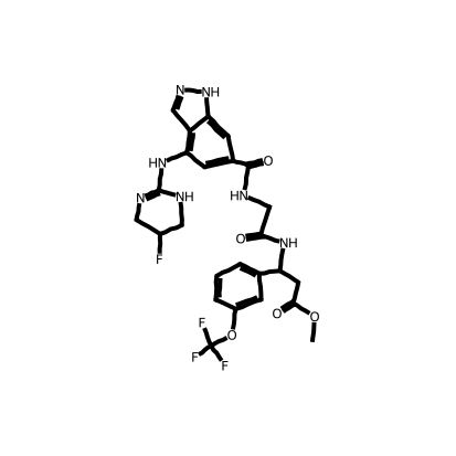 COC(=O)CC(NC(=O)CNC(=O)c1cc(NC2=NCC(F)CN2)c2cn[nH]c2c1)c1cccc(OC(F)(F)F)c1